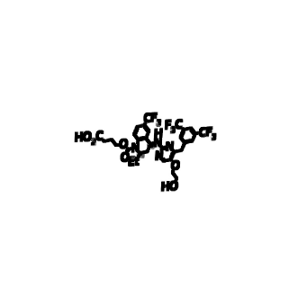 CC[C@@H]1C[C@H](Nc2ncc(OCCO)c(Cc3cc(C(F)(F)F)cc(C(F)(F)F)c3)n2)c2cc(C(F)(F)F)ccc2N1C(=O)OCCCC(=O)O